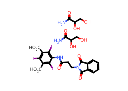 NC(=O)C(O)CO.NC(=O)C(O)CO.O=C(CCN1C(=O)c2ccccc2C1=O)Nc1c(I)c(C(=O)O)c(I)c(C(=O)O)c1I